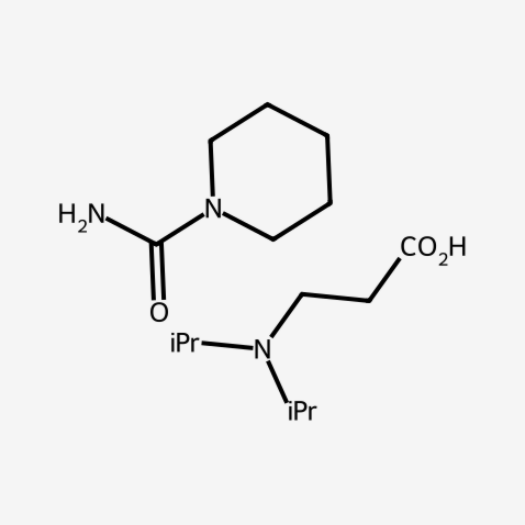 CC(C)N(CCC(=O)O)C(C)C.NC(=O)N1CCCCC1